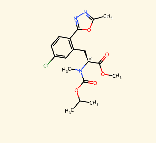 COC(=O)[C@H](Cc1cc(Cl)ccc1-c1nnc(C)o1)N(C)C(=O)OC(C)C